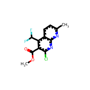 COC(=O)c1c(Cl)nc2nc(C)ccc2c1C(F)F